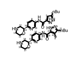 CCCCc1cc(C(=O)Nc2ccc([C@@H]3CNCCO3)nc2)[nH]n1.CCCCc1n[nH]c(C(=O)Nc2ccc([C@@H]3CNCCO3)nc2)c1F